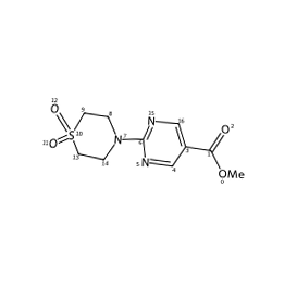 COC(=O)c1cnc(N2CCS(=O)(=O)CC2)nc1